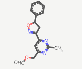 Cc1nc(COC=O)cc(C2=NOC(c3ccccc3)C2)n1